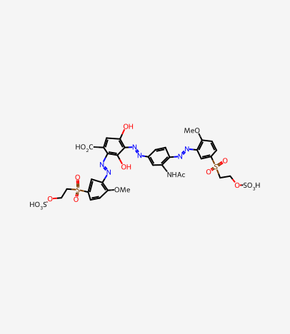 COc1ccc(S(=O)(=O)CCOS(=O)(=O)O)cc1N=Nc1ccc(N=Nc2c(O)cc(C(=O)O)c(N=Nc3cc(S(=O)(=O)CCOS(=O)(=O)O)ccc3OC)c2O)cc1NC(C)=O